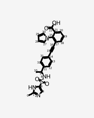 Cc1ncc(S(=O)(=O)NC(C)c2ccc(C#Cc3cccc(C(=O)O)c3-n3cccc3)cc2)[nH]1